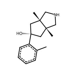 Cc1ccccc1[C@@]1(O)C[C@]2(C)CNC[C@]2(C)C1